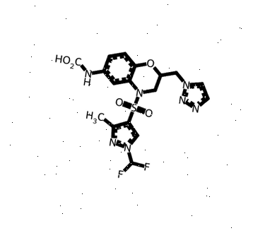 Cc1nn(C(F)F)cc1S(=O)(=O)N1CC(Cn2ccnn2)Oc2ccc(NC(=O)O)cc21